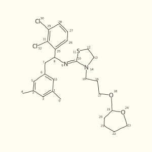 Cc1cc(C)cc(CC(N=C2SCCN2CCCOC2CCCCO2)c2cccc(Cl)c2Cl)c1